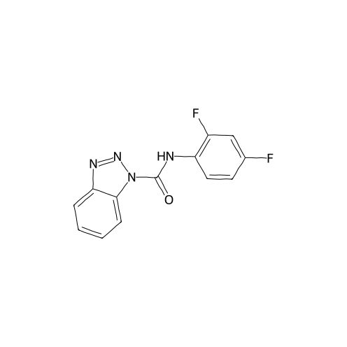 O=C(Nc1ccc(F)cc1F)n1nnc2ccccc21